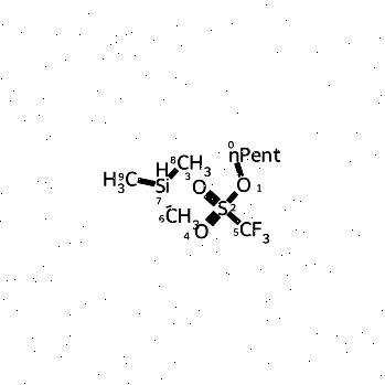 CCCCCOS(=O)(=O)C(F)(F)F.C[SiH](C)C